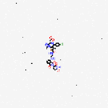 COC(=O)C[C@@H]1N=C(c2ccc(Cl)cc2)c2c(sc(C(=O)NCCNc3cccc4c3C(=O)N(C3CCC(=O)NC3=O)C4=O)c2C)-n2c(C)nnc21